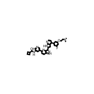 CN(C)CCOc1cc(F)cc(-c2ccnc3[nH]c(-c4n[nH]c5ccc(-c6cncc(NC(O)C7CCC7)c6)nc45)cc23)c1